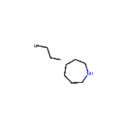 C1CCCNCC1.[Li][CH2]CC